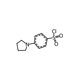 O=S(=O)(Cl)c1ccc(N2CCCC2)cc1